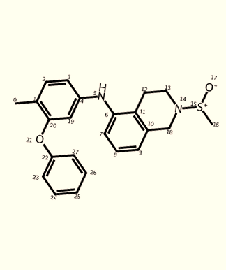 Cc1ccc(Nc2cccc3c2CCN([S+](C)[O-])C3)cc1Oc1ccccc1